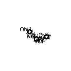 O=Nc1ccc(N=Nc2ccc(O)c(C(=O)Oc3ccccc3)c2)c([N+](=O)[O-])c1